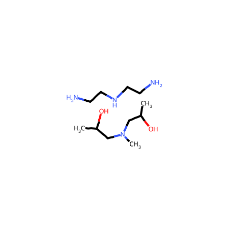 CC(O)CN(C)CC(C)O.NCCNCCN